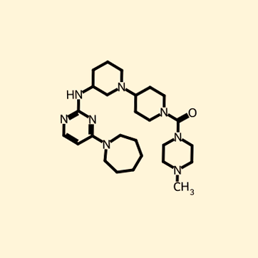 CN1CCN(C(=O)N2CCC(N3CCCC(Nc4nccc(N5CCCCCC5)n4)C3)CC2)CC1